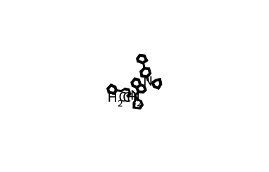 C=C(/C=C\C(=C)N(c1ccc(N(c2ccccc2)c2ccc(-c3ccccc3)cc2)c2ccccc12)C1C=CC=CC1)c1ccccc1